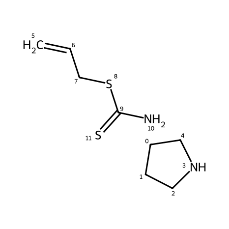 C1CCNC1.C=CCSC(N)=S